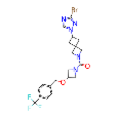 O=C(N1CC(OCc2ccc(C(F)(F)F)cc2)C1)N1CC2(CC(n3cnc(Br)n3)C2)C1